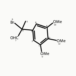 COc1cc(C(C)(Br)C=O)cc(OC)c1OC